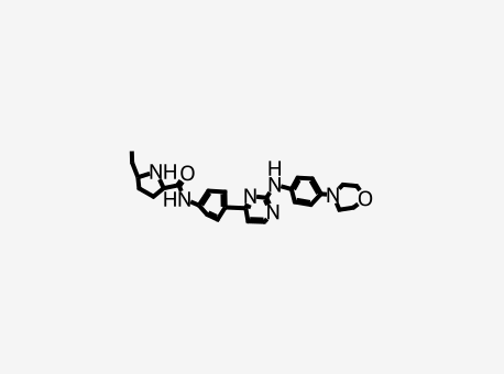 CCC1CCC(C(=O)Nc2ccc(-c3ccnc(Nc4ccc(N5CCOCC5)cc4)n3)cc2)N1